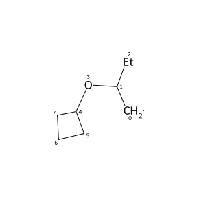 [CH2]C(CC)OC1CCC1